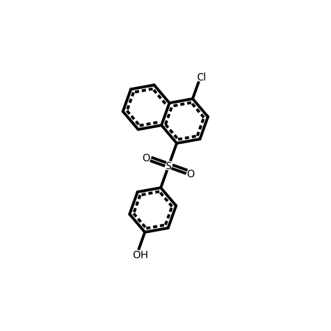 O=S(=O)(c1ccc(O)cc1)c1ccc(Cl)c2ccccc12